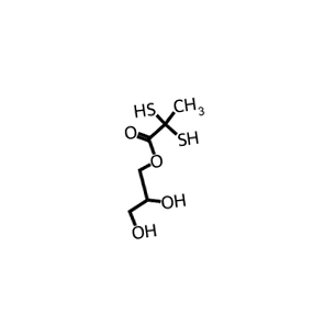 CC(S)(S)C(=O)OCC(O)CO